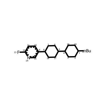 CCCCC1CCC(C2CCC(c3ccc(F)nc3)CC2)CC1